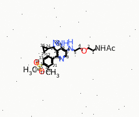 CC(=O)NCCOCCNc1cnc(-c2ccc(S(C)(=O)=O)c(C)c2)c2c(C3CC3)n[nH]c12